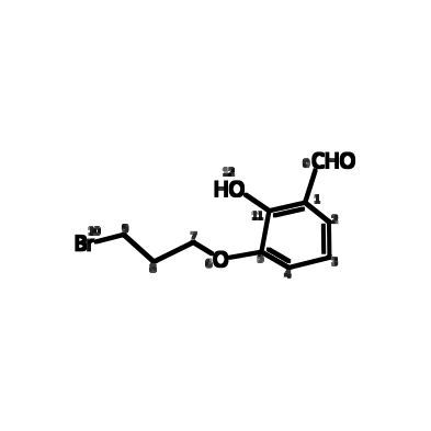 O=Cc1cccc(OCCCBr)c1O